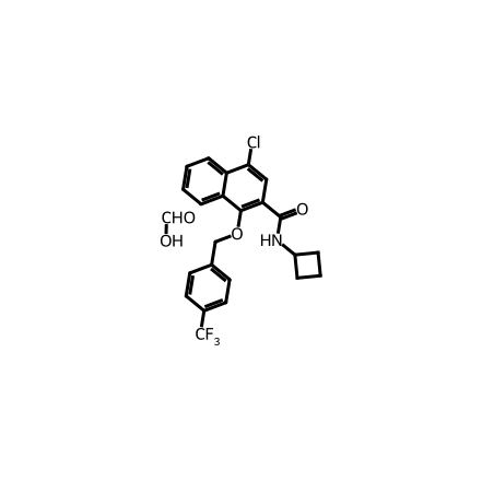 O=C(NC1CCC1)c1cc(Cl)c2ccccc2c1OCc1ccc(C(F)(F)F)cc1.O=CO